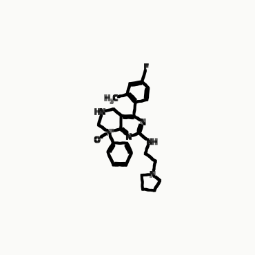 Cc1cc(F)ccc1-c1nc(NCCN2CCCC2)nc2c1CNC[N+]2([O-])c1ccccc1